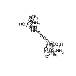 CC(C)(C)[C@H](c1cc(-c2cc(F)ccc2F)cn1Cc1ccccc1)N(CCCN)C(=O)CSC[C@H](NC(=O)CCOCCOCCOCCOCCNC(=O)CNC(=O)[C@H](CC(=O)O)SC[C@H](N)C(=O)OC(=O)C(F)(F)F)C(=O)O